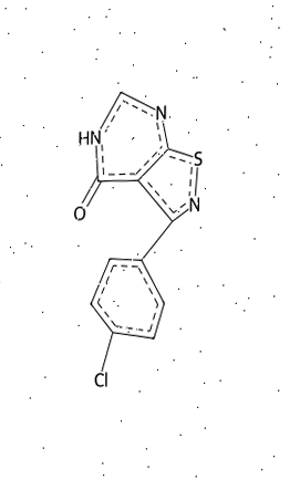 O=c1[nH]cnc2snc(-c3ccc(Cl)cc3)c12